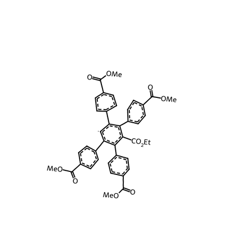 CCOC(=O)c1c(-c2ccc(C(=O)OC)cc2)c(-c2ccc(C(=O)OC)cc2)[c]c(-c2ccc(C(=O)OC)cc2)c1-c1ccc(C(=O)OC)cc1